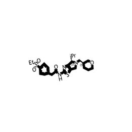 CCS(=O)(=O)c1ccc(CC(=O)Nc2nc3c(s2)CN(C[C@@H]2CCCOC2)[C@H]3C(C)C)cc1